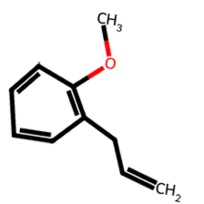 C=CCc1ccc[c]c1OC